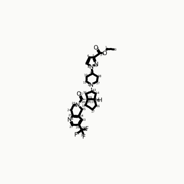 CCOC(=O)c1ccn(C2CCN([C@@H]3C[C@H]4CCC[C@@]4(C(=O)N4CCc5ncc(C(F)(F)F)cc5C4)C3)CC2)n1